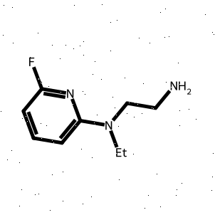 CCN(CCN)c1cccc(F)n1